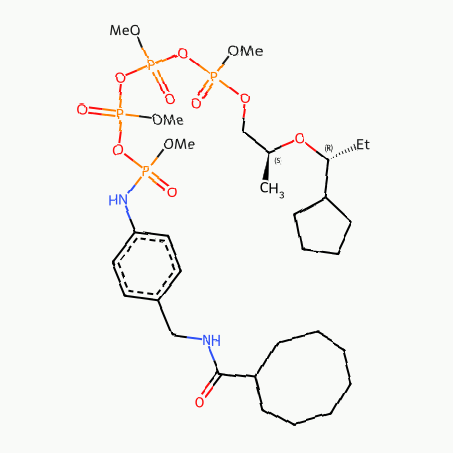 CC[C@@H](O[C@@H](C)COP(=O)(OC)OP(=O)(OC)OP(=O)(OC)OP(=O)(Nc1ccc(CNC(=O)C2CCCCCCC2)cc1)OC)C1CCCC1